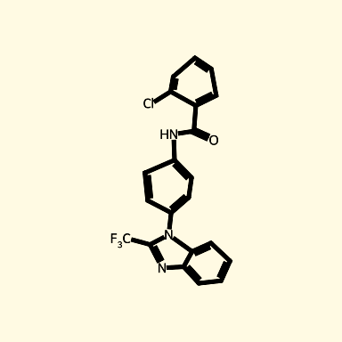 O=C(Nc1ccc(-n2c(C(F)(F)F)nc3ccccc32)cc1)c1ccccc1Cl